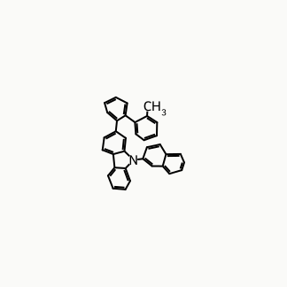 Cc1ccccc1-c1ccccc1-c1ccc2c3ccccc3n(-c3ccc4ccccc4c3)c2c1